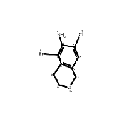 Nc1c(Cl)cc2c(c1Br)CCOC2